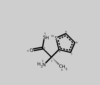 C[C@](N)(C(=O)S)c1cccs1